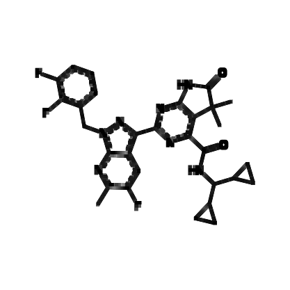 Cc1nc2c(cc1F)c(-c1nc3c(c(C(=O)NC(C4CC4)C4CC4)n1)C(C)(C)C(=O)N3)nn2Cc1cccc(F)c1F